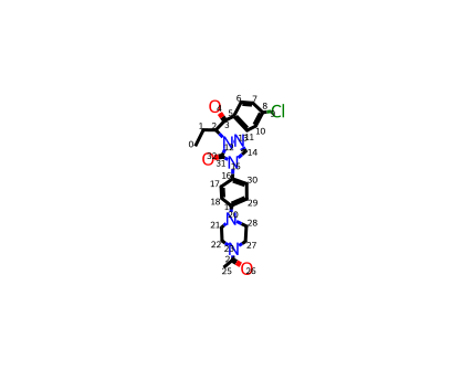 CCC(C(=O)c1ccc(Cl)cc1)n1ncn(-c2ccc(N3CCN(C(C)=O)CC3)cc2)c1=O